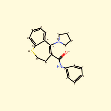 O=C(Nc1ccccc1)C1=C(N2CCCC2)c2ccccc2SCC1